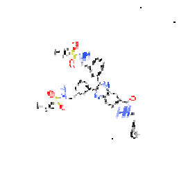 C#CCNC(=O)c1ccc2nc(-c3cccc(CNS(C)(=O)=O)c3)c(-c3cccc(CNS(C)(=O)=O)c3)nc2c1